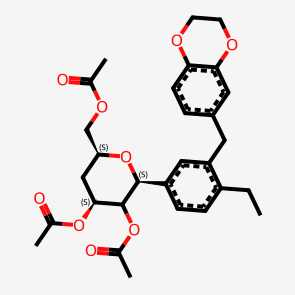 CCc1ccc([C@@H]2O[C@H](COC(C)=O)C[C@H](OC(C)=O)C2OC(C)=O)cc1Cc1ccc2c(c1)OCCO2